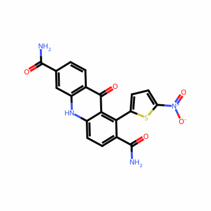 NC(=O)c1ccc2c(=O)c3c(-c4ccc([N+](=O)[O-])s4)c(C(N)=O)ccc3[nH]c2c1